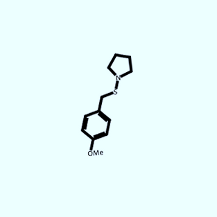 COc1ccc(CSN2CCCC2)cc1